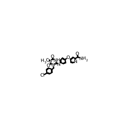 Cn1c(=O)[nH]/c(=N\c2ccc(Oc3ccnc(C(N)=O)c3)cc2)n(Cc2ccc(Cl)cc2)c1=O